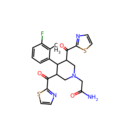 Cc1c(F)cccc1C1C(C(=O)c2nccs2)CN(CC(N)=O)CC1C(=O)c1nccs1